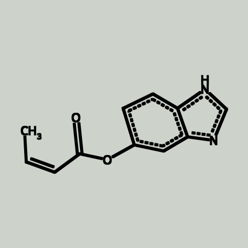 C/C=C\C(=O)Oc1ccc2[nH]cnc2c1